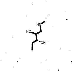 CC[C@@H](O)C(O)CNC